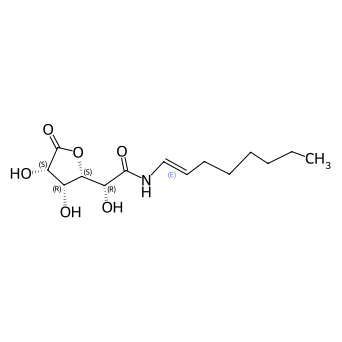 CCCCCC/C=C/NC(=O)[C@H](O)[C@H]1OC(=O)[C@@H](O)[C@H]1O